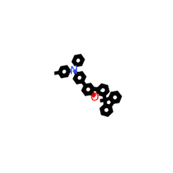 Cc1ccc(N(c2ccccc2)c2ccc(-c3ccc4oc5c(C6(C)c7ccccc7-c7ccccc76)cccc5c4c3)cc2)cc1